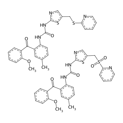 COc1ccccc1C(=O)c1cc(C)ccc1NC(=O)Nc1ncc(CS(=O)(=O)c2ccccn2)s1.COc1ccccc1C(=O)c1cc(C)ccc1NC(=O)Nc1ncc(CSc2ccccn2)s1